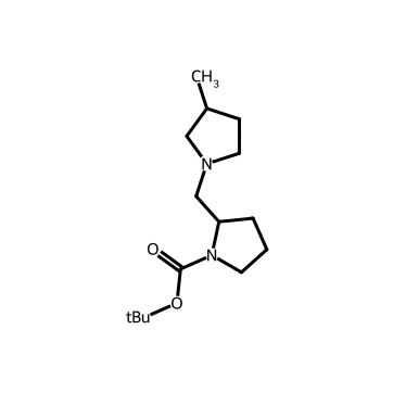 CC1CCN(CC2CCCN2C(=O)OC(C)(C)C)C1